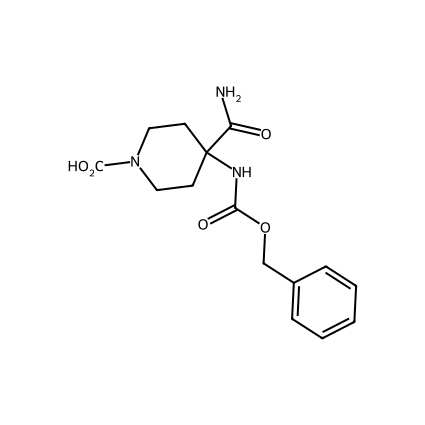 NC(=O)C1(NC(=O)OCc2ccccc2)CCN(C(=O)O)CC1